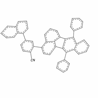 N#Cc1ccc(-c2cccc3ccccc23)cc1-c1ccc2c3c(cccc13)-c1c-2c(-c2ccccc2)c2ccccc2c1-c1ccccc1